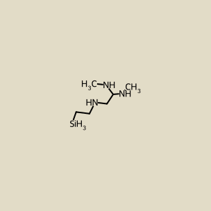 CNC(CNCC[SiH3])NC